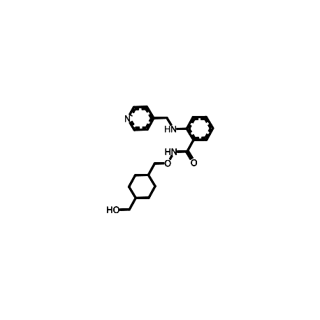 O=C(NOCC1CCC(CO)CC1)c1ccccc1NCc1ccncc1